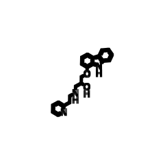 OC(CNCCc1ccccn1)COc1cccc2c1[nH]c1ccccc12